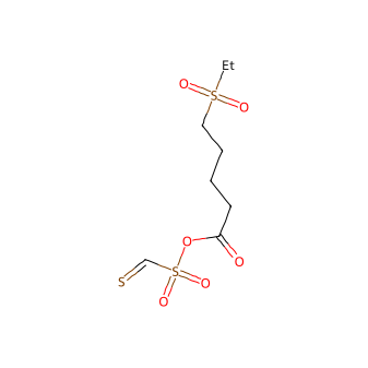 CCS(=O)(=O)CCCCC(=O)OS(=O)(=O)C=S